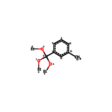 CCO[Si](OCC)(OCC)c1cccc(C)c1